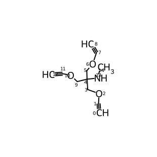 C#COCC(COC#C)(COC#C)NC